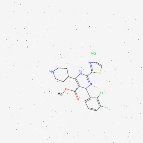 COC(=O)C1=C(C2CCNCC2)NC(c2nccs2)=NC1c1cccc(F)c1Cl.Cl